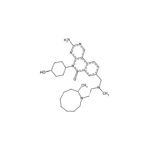 CC1CCCCCCCN1CCN(C)Cc1ccc2c(c1)c(=O)n(C1CCC(O)CC1)c1nc(N)ncc21